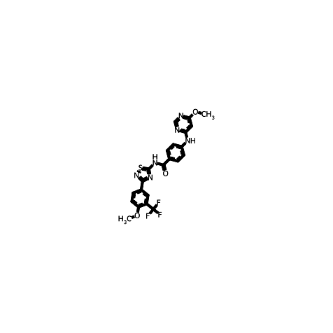 COc1cc(Nc2ccc(C(=O)Nc3nc(-c4ccc(OC)c(C(F)(F)F)c4)ns3)cc2)ncn1